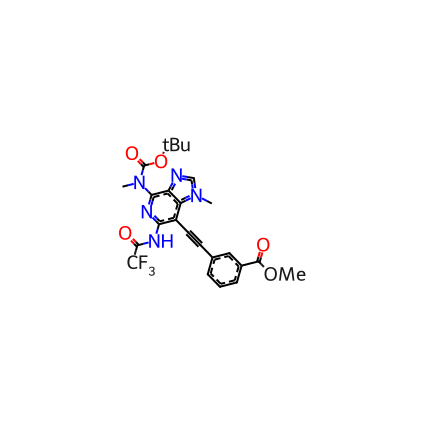 COC(=O)c1cccc(C#Cc2c(NC(=O)C(F)(F)F)nc(N(C)C(=O)OC(C)(C)C)c3ncn(C)c23)c1